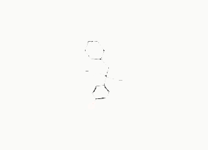 CC(C)(CC1CCCCC1)c1ccc([O])cc1